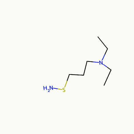 CCN(CC)CCCSN